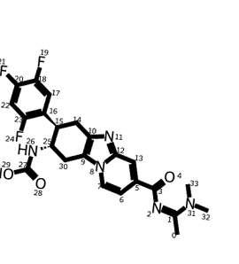 C/C(=N/C(=O)c1ccn2c3c(nc2c1)C[C@H](c1cc(F)c(F)cc1F)[C@@H](NC(=O)O)C3)N(C)C